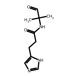 CC(C)(C=O)NC(=O)CCc1cnc[nH]1